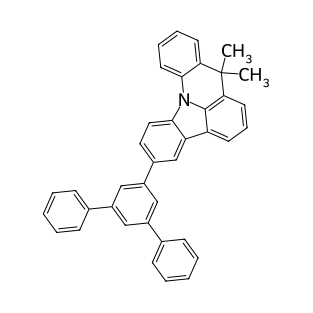 CC1(C)c2ccccc2-n2c3ccc(-c4cc(-c5ccccc5)cc(-c5ccccc5)c4)cc3c3cccc1c32